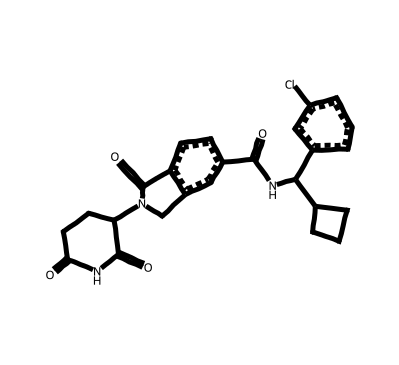 O=C1CCC(N2Cc3cc(C(=O)NC(c4cccc(Cl)c4)C4CCC4)ccc3C2=O)C(=O)N1